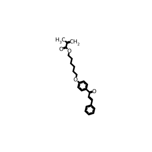 C=C(C)C(=O)OCCCCCCOc1ccc(C(=O)C=Cc2ccccc2)cc1